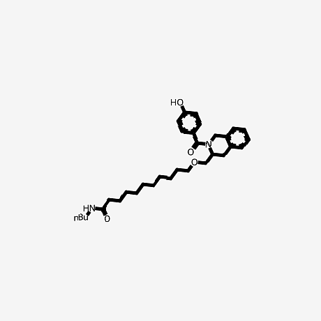 CCCCNC(=O)CCCCCCCCCCOCC1Cc2ccccc2CN1C(=O)c1ccc(O)cc1